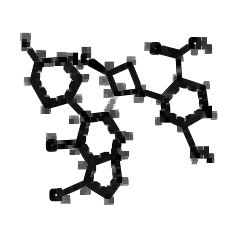 CC(=O)c1cnc(N)nc1N1C[C@H](C)[C@H]1c1nn2ccc(Cl)c2c(=O)n1-c1ccc(F)cc1